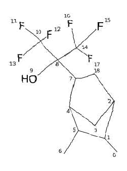 CC1C2CC(C1C)C(C(O)(C(F)(F)F)C(F)(F)F)C2